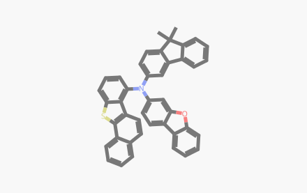 CC1(C)c2ccccc2-c2cc(N(c3ccc4c(c3)oc3ccccc34)c3cccc4sc5c6ccccc6ccc5c34)ccc21